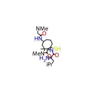 CNCC(=O)NC1CCCC2(S)N(C(=O)[C@@H](N)CC(C)C)[C@]2(C(=O)NC)C(C)(C)C1